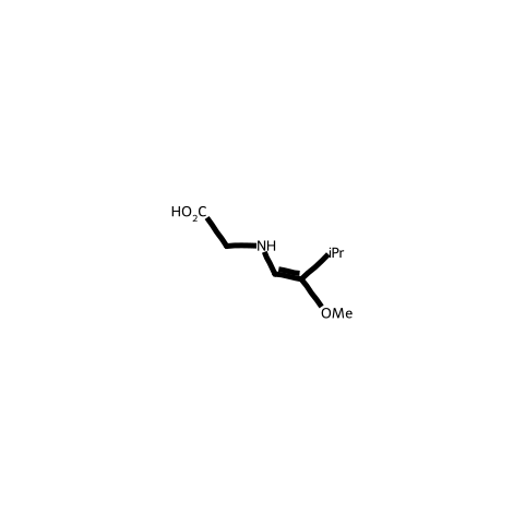 COC(=CNCC(=O)O)C(C)C